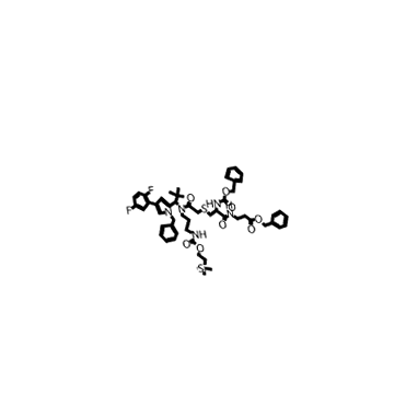 CC(C)(C)C(c1cc(-c2cc(F)ccc2F)cn1Cc1ccccc1)N(CCCNC(=O)OCC[Si](C)(C)C)C(=O)CSCC(NC(=O)OCc1ccccc1)C(=O)NCCC(=O)OCc1ccccc1